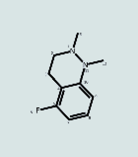 CN1CCc2c(F)cccc2N1C